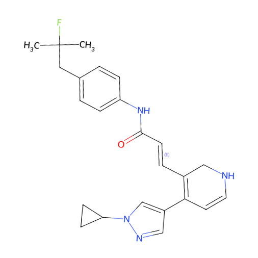 CC(C)(F)Cc1ccc(NC(=O)/C=C/C2=C(c3cnn(C4CC4)c3)C=CNC2)cc1